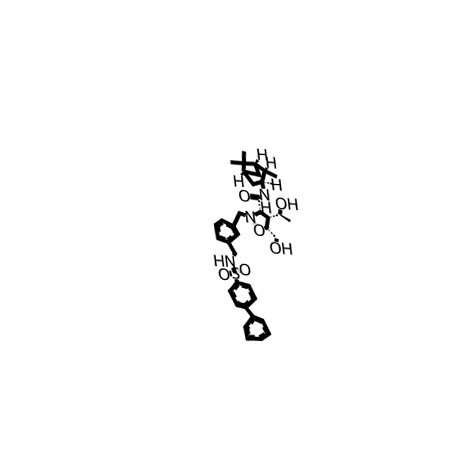 C[C@@H]1[C@@H](NC(=O)[C@@H]2[C@H]([C@H](C)O)[C@H](CO)ON2Cc2cccc(CNS(=O)(=O)c3ccc(-c4ccccc4)cc3)c2)C[C@H]2C[C@@H]1C2(C)C